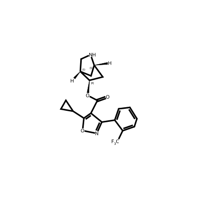 O=C(O[C@@H]1C[C@@H]2C[C@H]1CN2)c1c(-c2ccccc2C(F)(F)F)noc1C1CC1